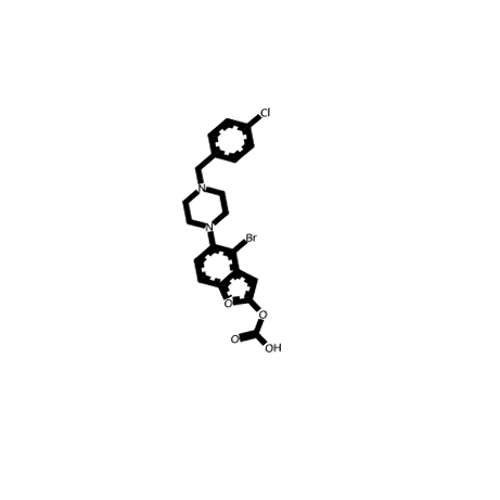 O=C(O)Oc1cc2c(Br)c(N3CCN(Cc4ccc(Cl)cc4)CC3)ccc2o1